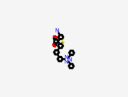 N#Cc1ccc2c(c1)C1(c3cc(-c4cccc(-c5cccc(-c6nc(-c7ccccc7)nc(-c7ccccc7)n6)c5)c4)ccc3S2)c2ccccc2-c2ccccc21